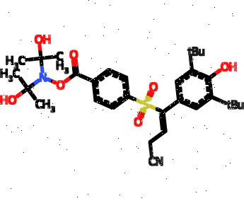 CC(C)(C)c1cc(/C(=C/CC#N)S(=O)(=O)c2ccc(C(=O)ON(C(C)(C)O)C(C)(C)O)cc2)cc(C(C)(C)C)c1O